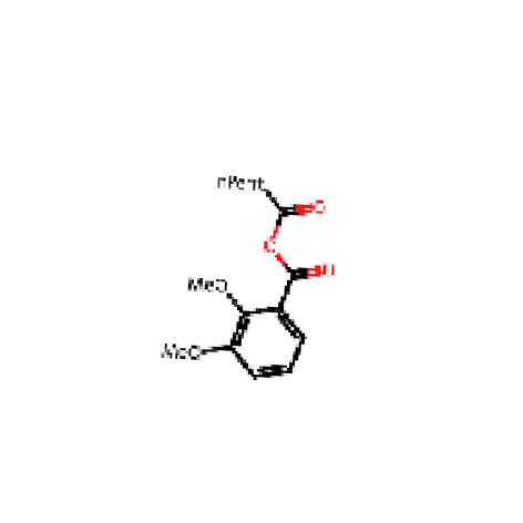 CCCCCC(=O)OC(=O)c1cccc(OC)c1OC